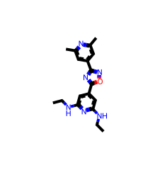 CCNc1cc(-c2nc(-c3cc(C)nc(C)c3)no2)cc(NCC)n1